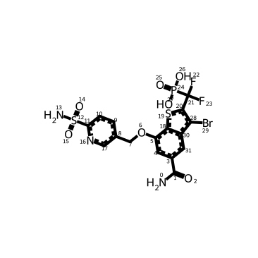 NC(=O)c1cc(OCc2ccc(S(N)(=O)=O)nc2)c2sc(C(F)(F)P(=O)(O)O)c(Br)c2c1